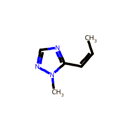 C/C=C\c1ncnn1C